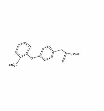 CCCCCC(=O)Cc1ccc(Oc2ccccc2C(=O)OCC)cc1